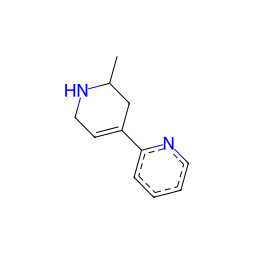 CC1CC(c2ccccn2)=CCN1